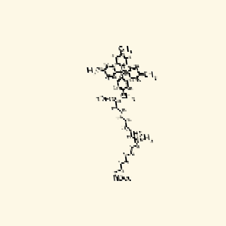 CCCCCCCCCCCCCCCCCC[NH+](C)CCCCCCCCCCCCCCCCCC.Cc1ccc([B-](c2ccc(C)cc2)(c2ccc(C)cc2)c2ccc(C)cc2)cc1